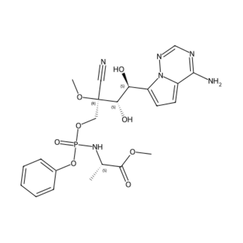 COC(=O)[C@H](C)NP(=O)(OC[C@@](C#N)(OC)[C@@H](O)[C@@H](O)c1ccc2c(N)ncnn12)Oc1ccccc1